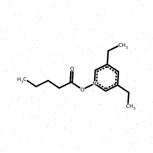 CCCCC(=O)O[n+]1cc(CC)cc(CC)c1